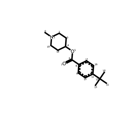 CN1CCC(OC(=O)c2ccc(C(C)(C)C)cc2)CC1